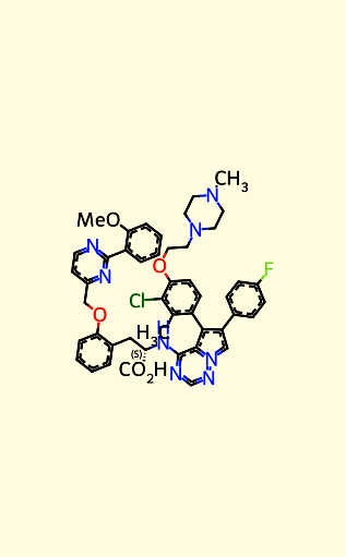 COc1ccccc1-c1nccc(COc2ccccc2C[C@H](Nc2ncnn3cc(-c4ccc(F)cc4)c(-c4ccc(OCCN5CCN(C)CC5)c(Cl)c4C)c23)C(=O)O)n1